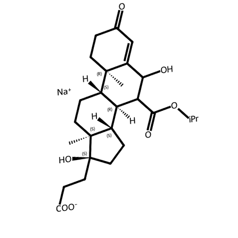 CC(C)OC(=O)C1C(O)C2=CC(=O)CC[C@]2(C)[C@H]2CC[C@@]3(C)[C@@H](CC[C@]3(O)CCC(=O)[O-])[C@H]12.[Na+]